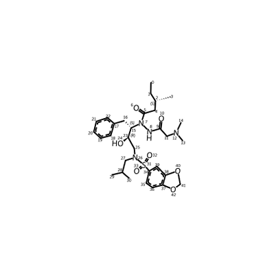 CC[C@H](C)CC(=O)N(NC(=O)CN(C)C)[C@@H](Cc1ccccc1)[C@H](O)CN(CC(C)C)S(=O)(=O)c1ccc2c(c1)OCO2